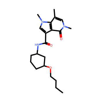 CCCCOC1CCCC(NC(=O)c2cn(C)c3c(C)cn(C)c(=O)c23)C1